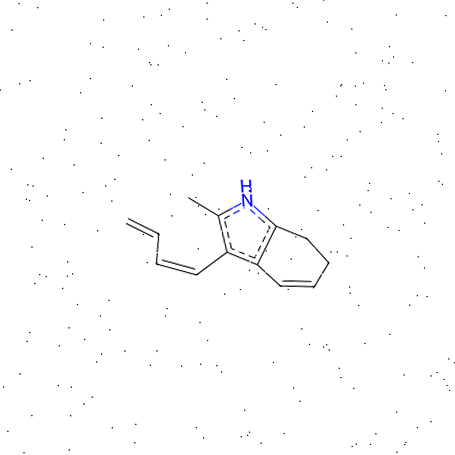 C=C/C=C\c1c(C)[nH]c2c1C=CCC2